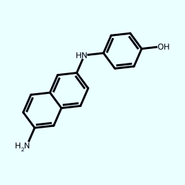 Nc1ccc2cc(Nc3ccc(O)cc3)ccc2c1